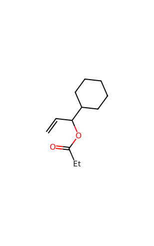 C=CC(OC(=O)CC)C1CCCCC1